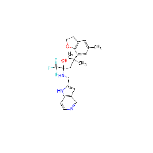 Cc1cc2c(c(C(C)(C)CC(O)(NCc3cc4cnccc4[nH]3)C(F)(F)F)c1)OCC2